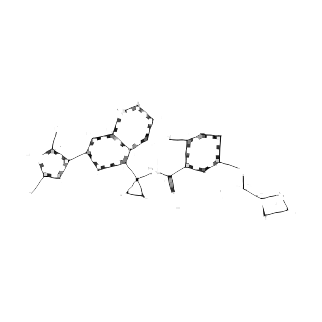 Cc1cc(-c2cc(C3(NC(=O)c4cc(O[C@@H](S)[C@@H]5CCN5)ccc4C)CC3)c3cccnc3c2)c(C)o1